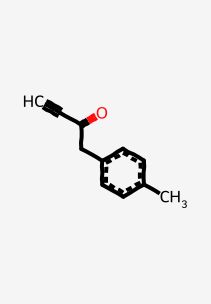 C#CC(=O)Cc1ccc(C)cc1